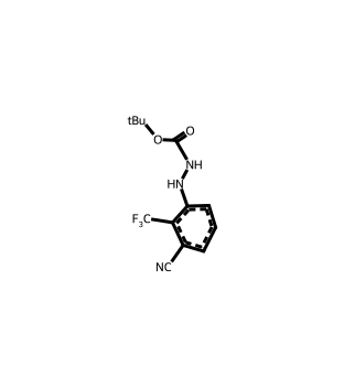 CC(C)(C)OC(=O)NNc1cccc(C#N)c1C(F)(F)F